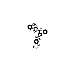 COc1cccc(S(=O)(=O)N2C[C@@H](C(=O)N3CCN(c4c(C)cccc4C)CC3)[C@H](c3ccccc3)C2)c1